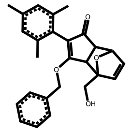 Cc1cc(C)c(C2=C(OCc3ccccc3)C3C(C2=O)C2C=CC3(CO)O2)c(C)c1